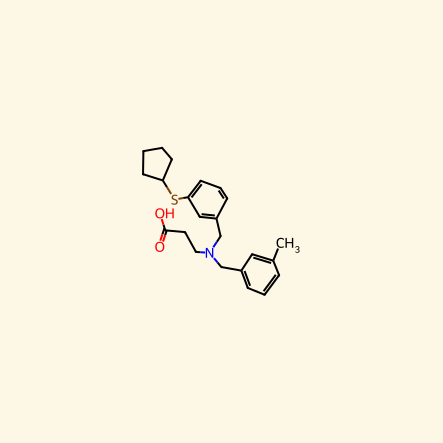 Cc1cccc(CN(CCC(=O)O)Cc2cccc(SC3CCCC3)c2)c1